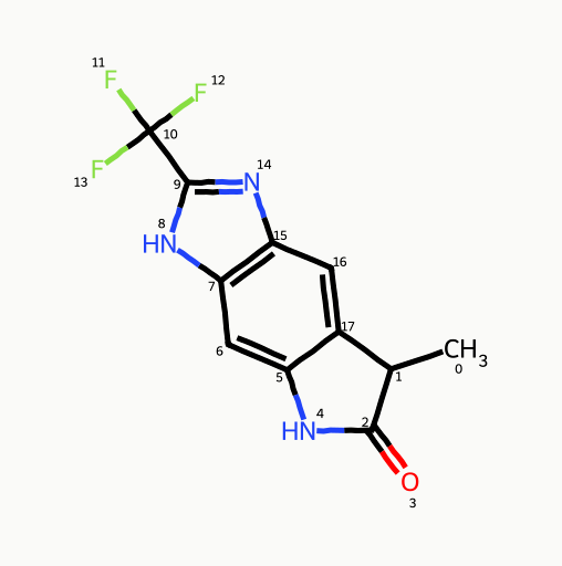 CC1C(=O)Nc2cc3[nH]c(C(F)(F)F)nc3cc21